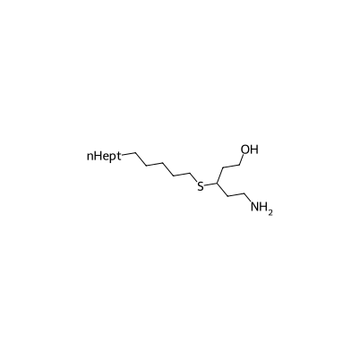 CCCCCCCCCCCCSC(CCN)CCO